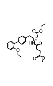 CCOC(=O)C[C@@H](Cc1ccc(-c2ccccc2OCC)cc1)NC(=O)CCC(=O)OC